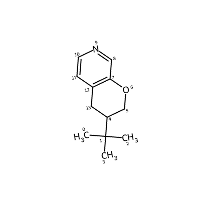 CC(C)(C)C1COc2cnccc2C1